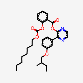 CCCCCCCCOC(=O)Oc1ccccc1C(=O)Oc1nccnc1-c1cccc(OCC(C)CC)c1